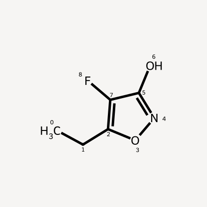 CCc1onc(O)c1F